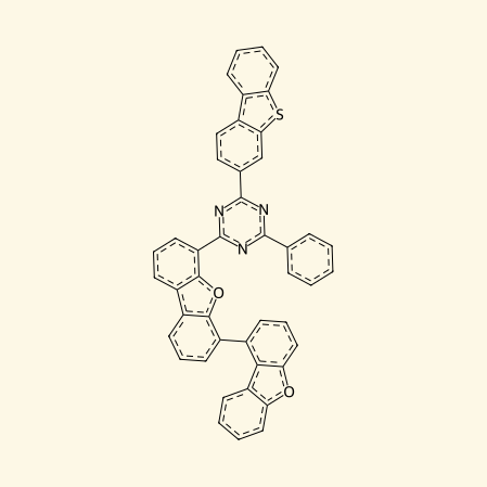 c1ccc(-c2nc(-c3ccc4c(c3)sc3ccccc34)nc(-c3cccc4c3oc3c(-c5cccc6oc7ccccc7c56)cccc34)n2)cc1